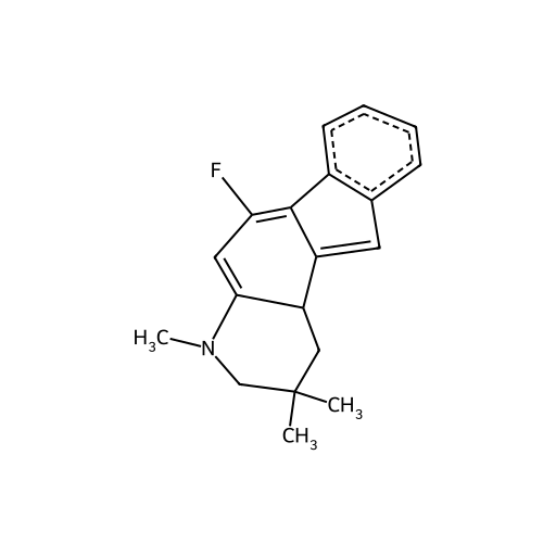 CN1CC(C)(C)CC2C3=Cc4ccccc4C3=C(F)C=C21